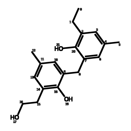 CCc1cc(C)cc(Cc2cc(C)cc(CCO)c2O)c1O